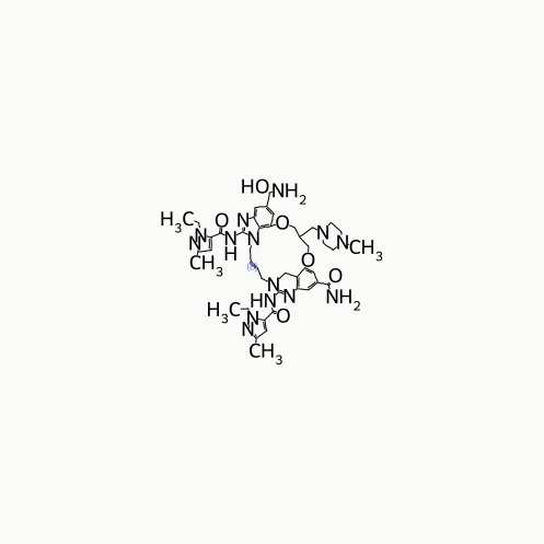 CCn1nc(C)cc1C(=O)NC1=Nc2cc(C(N)=O)cc3c2CN1C/C=C/Cn1c(NC(=O)c2cc(C)nn2CC)nc2cc(C(N)O)cc(c21)OCC(CN1CCN(C)CC1)CO3